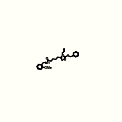 C=CCn1c(CCCCC(=O)NCc2ccccc2OC)nnc1SCc1ccccc1